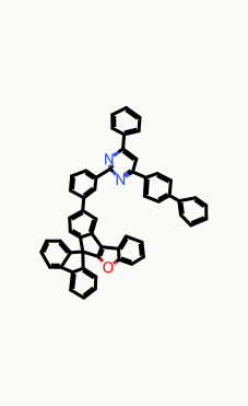 c1ccc(-c2ccc(-c3cc(-c4ccccc4)nc(-c4cccc(-c5ccc6c(c5)-c5c(oc7ccccc57)C65c6ccccc6-c6ccccc65)c4)n3)cc2)cc1